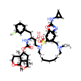 CN1CCCCCCCN(C[C@@H](O)[C@H](Cc2cccc(F)c2)NC(=O)O[C@H]2C[C@H]3CO[C@H]4OCC[C@@H]2[C@@H]34)S(=O)(=O)c2cc3oc(NC4CC4)nc3cc2C1